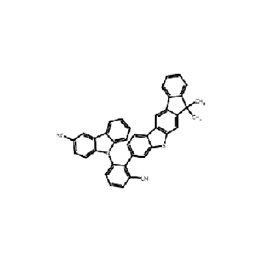 CC1(C)c2ccccc2-c2cc3c(cc21)sc1cc(-c2c(C#N)cccc2-n2c4ccccc4c4cc(C#N)ccc42)ccc13